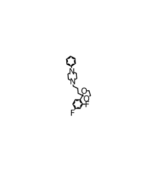 Fc1ccc(C2(CCCN3CCN(c4ccccc4)CC3)OCCO2)c(F)c1